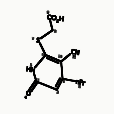 CCCc1cc(=O)[nH]c(SCC(=O)O)c1C#N